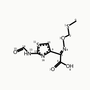 CSCO/N=C(/C(=O)O)c1csc(NC=O)n1